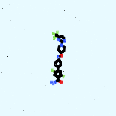 NC(=O)c1cc(F)c(C2CCC(=NOC3CCN(c4nccc(C(F)(F)F)n4)CC3)CC2)cc1F